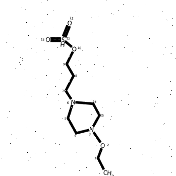 CCON1CCN(CCCO[SH](=O)=O)CC1